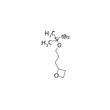 CC(C)(C)[Si](C)(C)OCCCC1CCO1